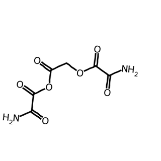 NC(=O)C(=O)OCC(=O)OC(=O)C(N)=O